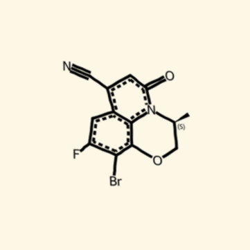 C[C@H]1COc2c(Br)c(F)cc3c(C#N)cc(=O)n1c23